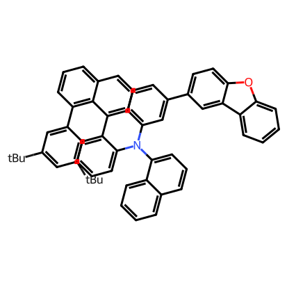 CC(C)(C)c1cc(-c2cccc3cccc(-c4ccccc4N(c4cccc(-c5ccc6oc7ccccc7c6c5)c4)c4cccc5ccccc45)c23)cc(C(C)(C)C)c1